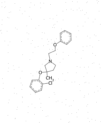 CC1(Oc2ccccc2Cl)CCN(CCOc2ccccc2)C1